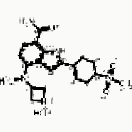 CN(c1ccc(C(N)=O)c2[nH]c(C3=CCC(S(C)(=O)=O)CC3)cc12)C1CNC1.Cl